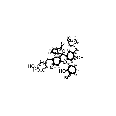 O=C(O)CN(CC(=O)O)Cc1cc2c(cc1O)Oc1cc(O)c(CN(CC(=O)O)CC(=O)O)cc1C21OC(=O)c2ccccc21.Oc1ccccc1Br